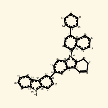 C1=Cc2c(n(-c3ccc(-c4ccccc4)c4ccccc34)c3ccc(-c4ccc5[nH]c6ccccc6c5c4)cc23)CC1